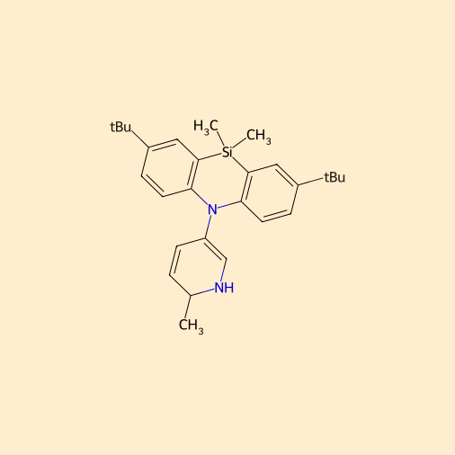 CC1C=CC(N2c3ccc(C(C)(C)C)cc3[Si](C)(C)c3cc(C(C)(C)C)ccc32)=CN1